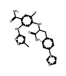 Cc1cc(Nc2cc(NC(Cc3ccc(-n4ccnc4)cc3)C(N)=O)c(F)cc2C(N)=O)sn1